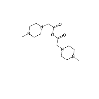 CN1CCN(CC(=O)OC(=O)CN2CCN(C)CC2)CC1